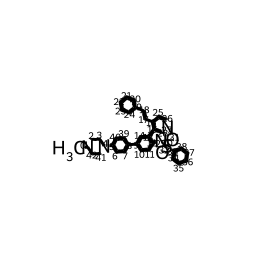 CN1CCN(c2ccc(-c3ccc4c(c3)c3c(C=Cc5ccccc5)ccnc3n4S(=O)(=O)c3ccccc3)cc2)CC1